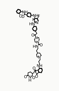 O=C1CCC(N2C(=O)c3cccc(NCCCN4CCC(CCNC(=O)N5CCN(C(=O)Cc6ccc(Nc7ncc(F)c(Nc8ccc(C(=O)Nc9ccccc9Cl)cc8)n7)cc6)CC5)CC4)c3C2=O)C(=O)N1